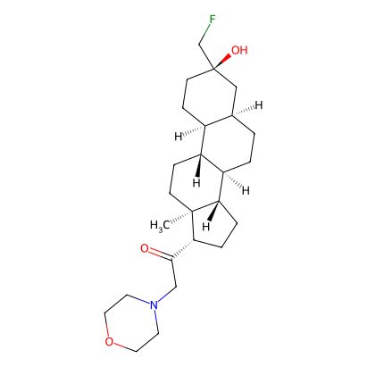 C[C@]12CC[C@H]3[C@@H](CC[C@@H]4C[C@@](O)(CF)CC[C@@H]43)[C@@H]1CC[C@@H]2C(=O)CN1CCOCC1